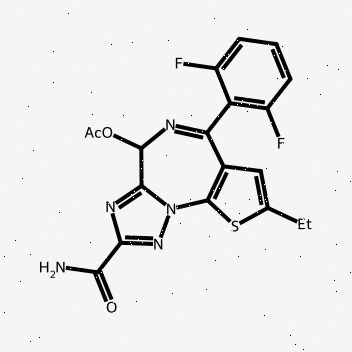 CCc1cc2c(s1)-n1nc(C(N)=O)nc1C(OC(C)=O)N=C2c1c(F)cccc1F